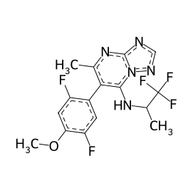 COc1cc(F)c(-c2c(C)nc3ncnn3c2NC(C)C(F)(F)F)cc1F